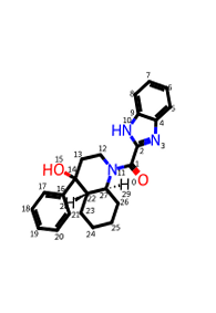 O=C(c1nc2ccccc2[nH]1)N1CCC(O)(c2ccccc2)[C@H]2CCCC[C@@H]21